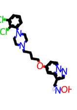 O/N=C\c1cnn2ccc(OCCCCN3CCN(c4cccc(Cl)c4Cl)CC3)cc12